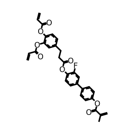 C=CC(=O)Oc1ccc(CCC(=O)Oc2ccc(-c3ccc(OC(=O)C(=C)C)cc3)cc2F)cc1OC(=O)C=C